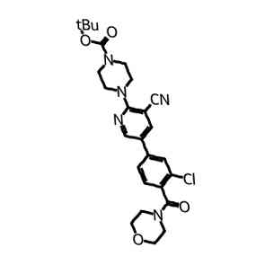 CC(C)(C)OC(=O)N1CCN(c2ncc(-c3ccc(C(=O)N4CCOCC4)c(Cl)c3)cc2C#N)CC1